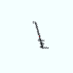 CCC=CCC=CCC=CCC=CCC=CCC=CCCC(=O)NCCOC(=O)C=CC(=O)OC